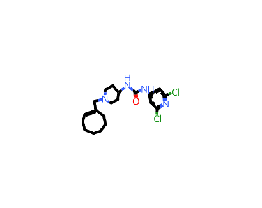 O=C(Nc1cc(Cl)nc(Cl)c1)NC1CCN(C/C2=C/CCCCCC2)CC1